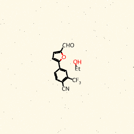 CCO.N#Cc1ccc(-c2ccc(C=O)o2)cc1C(F)(F)F